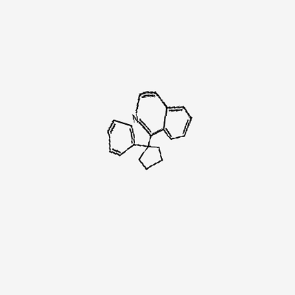 c1ccc(C2(c3nccc4ccccc34)CCCC2)cc1